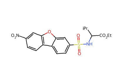 CCOC(=O)C(NS(=O)(=O)c1ccc2c(c1)oc1cc([N+](=O)[O-])ccc12)C(C)C